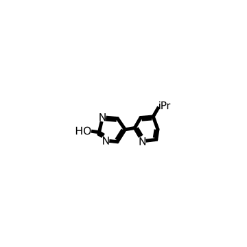 CC(C)c1ccnc(-c2cnc(O)nc2)c1